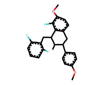 COc1ccc(C2Cc3ccc(OC)c(F)c3C(Cc3c(F)cccc3F)C2C)cc1